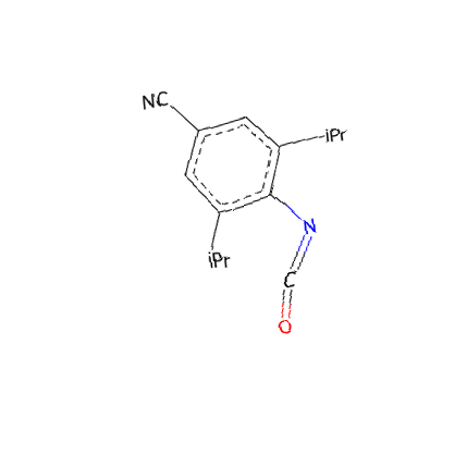 CC(C)c1cc(C#N)cc(C(C)C)c1N=C=O